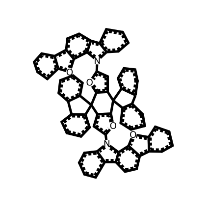 c1ccc2c(c1)-c1ccccc1C21c2cc(-n3c4ccccc4c4ccc5c6ccccc6oc5c43)oc2C2(c3ccccc3-c3ccccc32)c2cc(-n3c4ccccc4c4ccc5c6ccccc6oc5c43)oc21